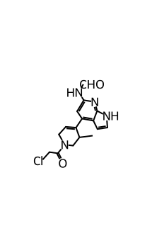 CC1CN(C(=O)CCl)CC=C1c1cc(NC=O)nc2[nH]ccc12